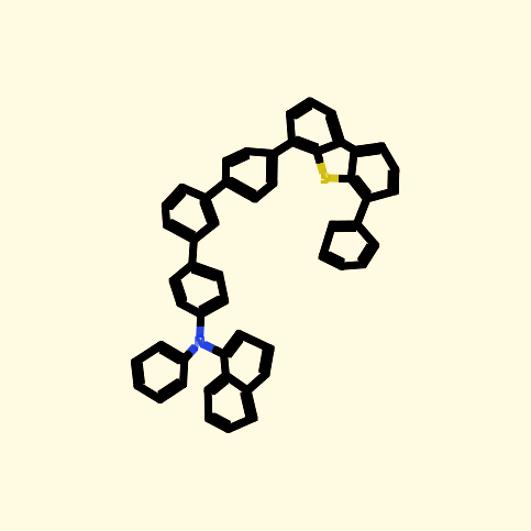 c1ccc(-c2cccc3c2sc2c(-c4ccc(-c5cccc(-c6ccc(N(c7ccccc7)c7cccc8ccccc78)cc6)c5)cc4)cccc23)cc1